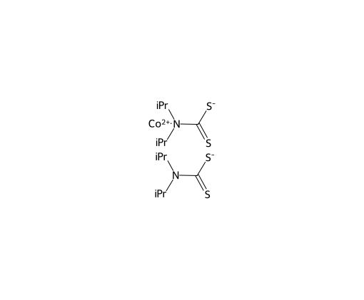 CC(C)N(C(=S)[S-])C(C)C.CC(C)N(C(=S)[S-])C(C)C.[Co+2]